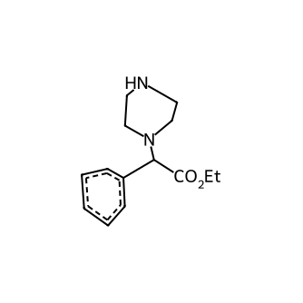 CCOC(=O)C(c1ccccc1)N1CCNCC1